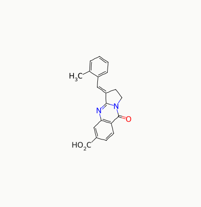 Cc1ccccc1C=C1CCn2c1nc1cc(C(=O)O)ccc1c2=O